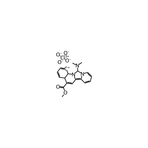 COC(=O)C1=CC2=C3C=CC=CN3C(N(C)C)N2C2[C+]=CC=CC12.[O-][Cl+3]([O-])([O-])[O-]